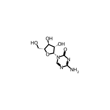 Nc1ncn([C@@H]2O[C@H](CO)[C@@H](O)[C@@H]2O)c(=O)n1